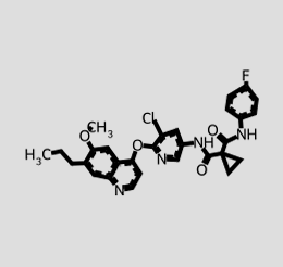 CCCc1cc2nccc(Oc3ncc(NC(=O)C4(C(=O)Nc5ccc(F)cc5)CC4)cc3Cl)c2cc1OC